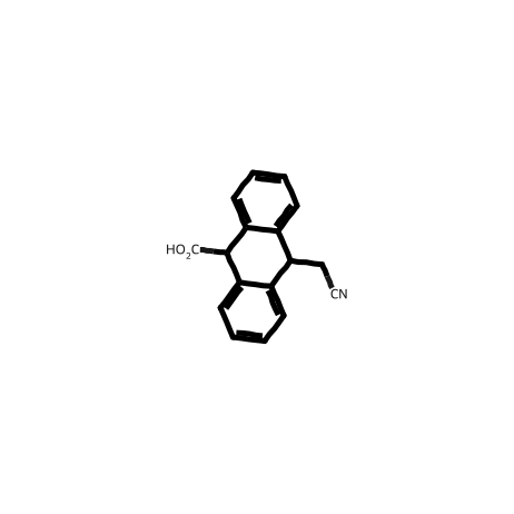 N#CCC1c2ccccc2C(C(=O)O)c2ccccc21